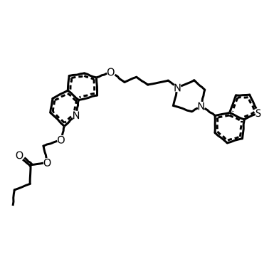 CCCC(=O)OCOc1ccc2ccc(OCCCCN3CCN(c4cccc5sccc45)CC3)cc2n1